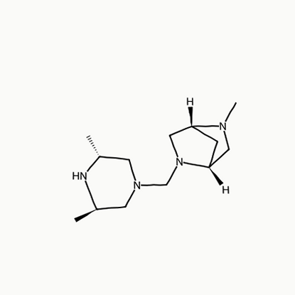 C[C@@H]1CN(CN2C[C@H]3C[C@@H]2CN3C)C[C@@H](C)N1